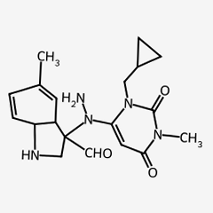 CC1=CC2C(C=C1)NCC2(C=O)N(N)c1cc(=O)n(C)c(=O)n1CC1CC1